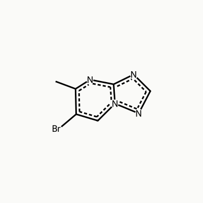 Cc1nc2ncnn2cc1Br